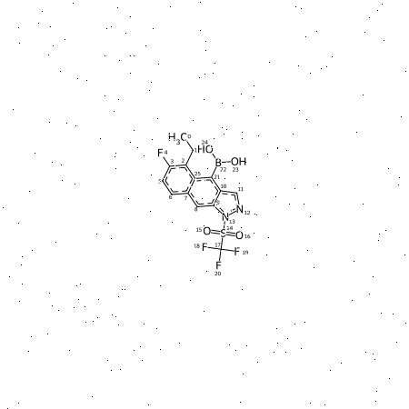 CCc1c(F)ccc2cc3c(cnn3S(=O)(=O)C(F)(F)F)c(B(O)O)c12